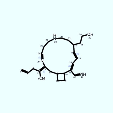 C=CC/C(C#N)=C1CC2CCC2/C(C=N)=C/C=C/C(CCO)CCNCC\C=N/1